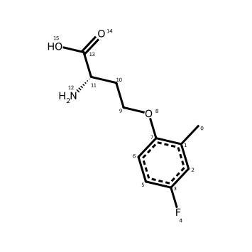 Cc1cc(F)ccc1OCC[C@H](N)C(=O)O